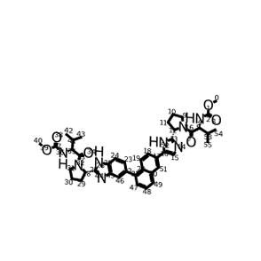 COC(=O)N[C@H](C(=O)N1CCC[C@H]1c1ncc(-c2ccc3c(-c4ccc5[nH]c([C@@H]6CCCN6C(=O)[C@@H](NC(=O)OC)C(C)C)nc5c4)cccc3c2)[nH]1)C(C)C